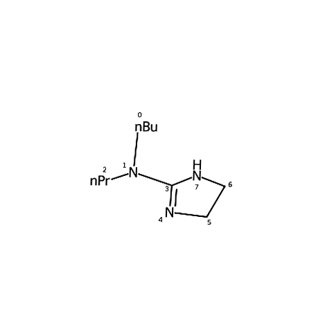 CCCCN(CCC)C1=NCCN1